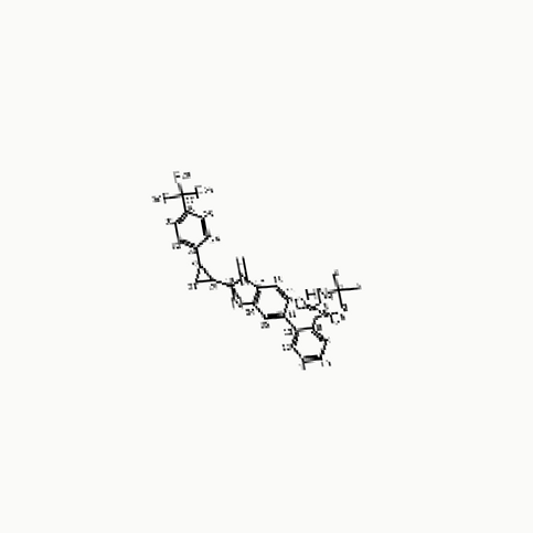 CC(C)(C)NS(=O)(=O)c1ccccc1-c1ccc2[nH]c(C3CC3c3ccc(C(F)(F)F)cc3)nc2c1